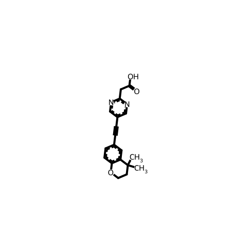 CC1(C)CCOc2ccc(C#Cc3cnc(CC(=O)O)nc3)cc21